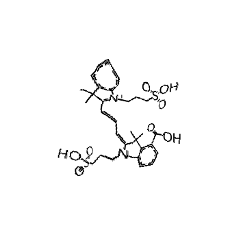 CC1(C)C(/C=C/C=C2/N(CCCS(=O)(=O)O)c3cccc(C(=O)O)c3C2(C)C)=[N+](CCCS(=O)(=O)O)c2ccccc21